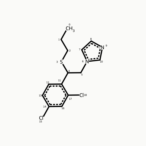 CCCSC(Cn1ccnc1)c1ccc(Cl)cc1Cl